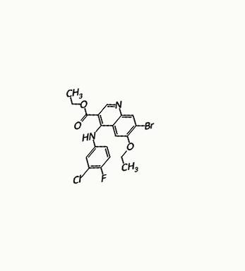 CCOC(=O)c1cnc2cc(Br)c(OCC)cc2c1Nc1ccc(F)c(Cl)c1